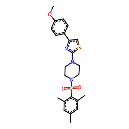 COc1ccc(-c2csc(N3CCN(S(=O)(=O)c4c(C)cc(C)cc4C)CC3)n2)cc1